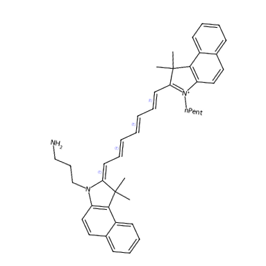 CCCCC[N+]1=C(/C=C/C=C/C=C/C=C2/N(CCCN)c3ccc4ccccc4c3C2(C)C)C(C)(C)c2c1ccc1ccccc21